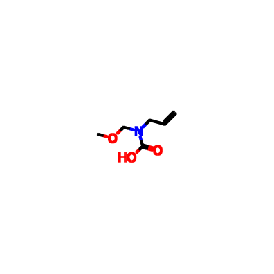 C=CCN(COC)C(=O)O